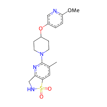 COc1ccc(OC2CCN(c3nc4c(cc3C)S(=O)(=O)NC4)CC2)cn1